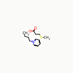 CCCC[n+]1ccccc1.CSCCC(=O)[O-]